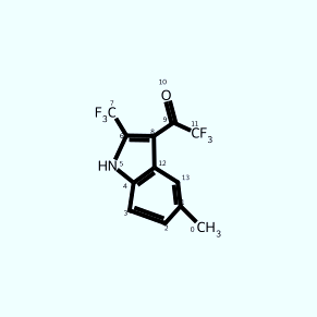 Cc1ccc2[nH]c(C(F)(F)F)c(C(=O)C(F)(F)F)c2c1